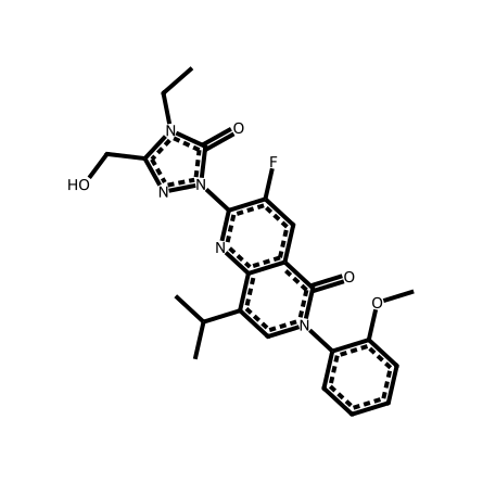 CCn1c(CO)nn(-c2nc3c(C(C)C)cn(-c4ccccc4OC)c(=O)c3cc2F)c1=O